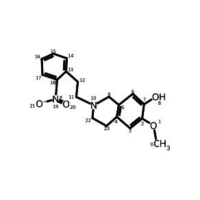 COc1cc2c(cc1O)CN(CCc1ccccc1[N+](=O)[O-])CC2